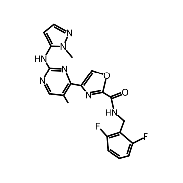 Cc1cnc(Nc2ccnn2C)nc1-c1coc(C(=O)NCc2c(F)cccc2F)n1